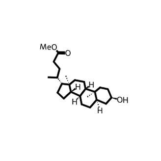 COC(=O)CCC(C)[C@H]1CC[C@H]2[C@@H]3CC[C@@H]4C[C@H](O)CC[C@]4(C)[C@H]3CC[C@]12C